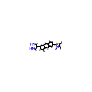 CC1=C(C)N(C)/C(=c2/ccc3cc4cc(=C(C=N)C=N)ccc4cc3c2)S1